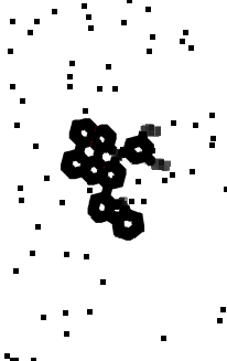 CC(C)(C)c1cc(N(c2ccc(-c3cccc4c3sc3ccccc34)cc2)c2ccccc2-c2cccc3cccc(-c4ccccc4)c23)cc(C(C)(C)C)c1